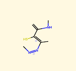 C=C(NC)/C(S)=C(C)/N=N\C